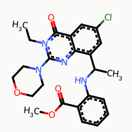 CCn1c(N2CCOCC2)nc2c(C(C)Nc3ccccc3C(=O)OC)cc(Cl)cc2c1=O